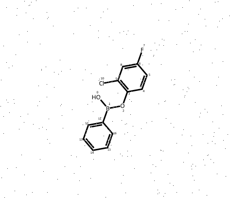 OB(Oc1ccc(F)cc1Cl)c1ccccc1